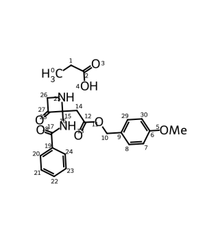 CCC(=O)O.COc1ccc(COC(=O)CC2(NC(=O)c3ccccc3)NCC2=O)cc1